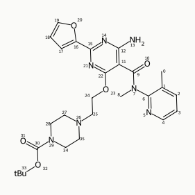 Cc1cccnc1N(C)C(=O)c1c(N)nc(-c2ccco2)nc1OCCN1CCN(C(=O)OC(C)(C)C)CC1